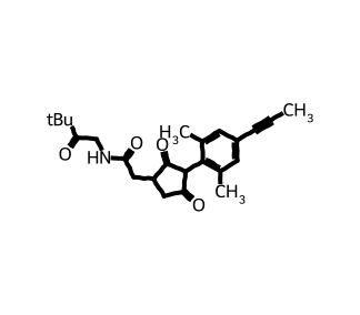 CC#Cc1cc(C)c(C2C(=O)CC(CC(=O)NCC(=O)C(C)(C)C)C2=O)c(C)c1